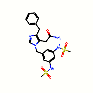 CS(=O)(=O)Nc1cc(Cn2cnc(Cc3ccccc3)c2CC(N)=O)cc(NS(C)(=O)=O)c1